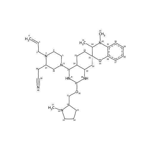 C=CCN1CCN(C2NC(OCC3CCCN3C)NC3C[C@@]4(CCC32)Oc2ccccc2N(C)C4C)CC1CC#N